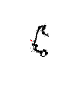 CCCNC(=O)Nc1cccc(S(=O)(=O)Nc2cccc([C@@H](CC(=O)[O-])NC(=O)Nc3ccc(NC(=O)NCCOCCOCCOCCC(=O)N[C@@H](CC(=O)[O-])C(=O)N4CCC[C@H]4C(=O)N[C@H](C(=O)N=[S@](C)(=O)Cc4cc5nc(c4)O[C@@H](C)CCCCOc4cc(F)ccc4-c4cc(ncc4F)N5)C(C)C)cc3)c2)c1.[Na+].[Na+]